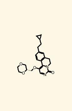 O=c1ncc(OC[C@H]2COCCO2)c2n1CCc1cc(CCC3CC3)ccc1-2